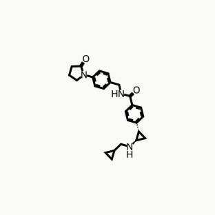 O=C(NCc1ccc(N2CCCC2=O)cc1)c1ccc([C@@H]2C[C@H]2NCC2CC2)cc1